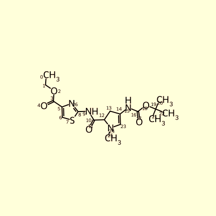 CCOC(=O)c1csc(NC(=O)C2CC(NC(=O)OC(C)(C)C)=CN2C)n1